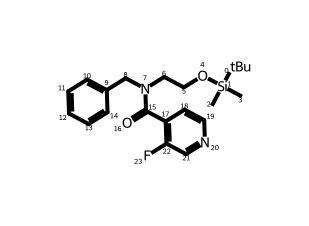 CC(C)(C)[Si](C)(C)OCCN(Cc1ccccc1)C(=O)c1ccncc1F